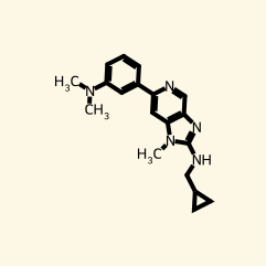 CN(C)c1cccc(-c2cc3c(cn2)nc(NCC2CC2)n3C)c1